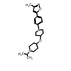 Cc1cc(-c2ccc(N3CCC(OC4CCN(C(C)C)CC4)CC3)cc2)on1